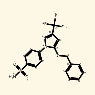 NS(=O)(=O)c1ccc(-n2nc(C(F)(F)F)cc2OCc2ccccc2)cc1